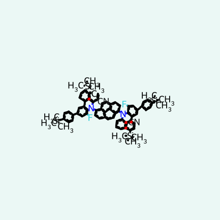 C[Si](C)(C)c1ccc(-c2cc(F)c(N(c3ccccc3C#N)c3ccc4ccc5c(N(c6ccccc6C#N)c6c(F)cc(-c7ccc([Si](C)(C)C)cc7)cc6-c6ccc([Si](C)(C)C)cc6)ccc6ccc3c4c65)c(-c3ccc([Si](C)(C)C)cc3)c2)cc1